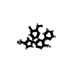 COc1ccc([C@]2(c3ccc(F)c(-c4cncnc4)c3)COC(N)=N2)cc1C